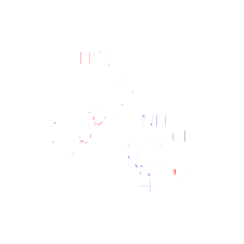 O=c1[nH]ncc(N[C@H](/C=C/CO)COC2CCCCO2)c1C(F)(F)F